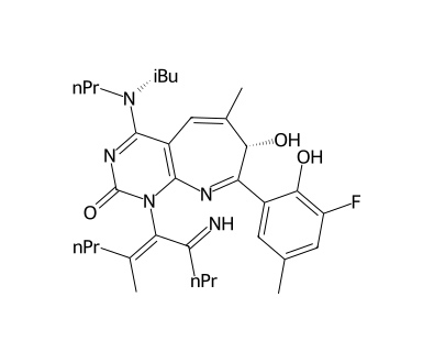 CCCC(=N)/C(=C(\C)CCC)n1c2c(c(N(CCC)[C@@H](C)CC)nc1=O)C=C(C)[C@H](O)C(c1cc(C)cc(F)c1O)=N2